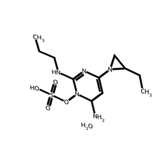 CCCNC1=NC(N2CC2CC)=CC(N)N1OS(=O)(=O)O.O